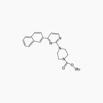 CC(C)(C)OC(=O)N1CCN(c2nccc(-c3ccc4ccccc4c3)n2)CC1